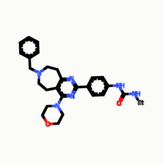 CCNC(=O)Nc1ccc(-c2nc3c(c(N4CCOCC4)n2)CCN(Cc2ccccc2)CC3)cc1